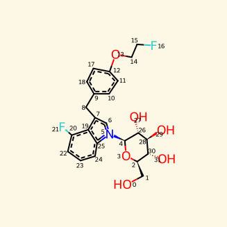 OC[C@H]1O[C@@H](n2cc(Cc3ccc(OCCF)cc3)c3c(F)cccc32)[C@H](O)[C@@H](O)[C@@H]1O